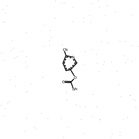 CCCC(=O)Oc1ccc(C#N)nc1